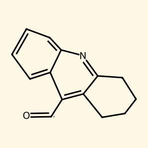 O=[C]c1c2c(nc3ccccc13)CCCC2